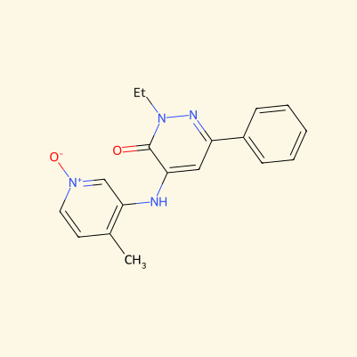 CCn1nc(-c2ccccc2)cc(Nc2c[n+]([O-])ccc2C)c1=O